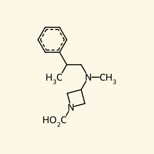 CC(CN(C)C1CN(C(=O)O)C1)c1ccccc1